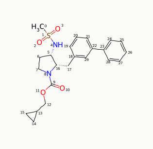 CS(=O)(=O)N[C@H]1CCN(C(=O)OCC2CC2)[C@H]1Cc1cccc(-c2ccccc2)c1